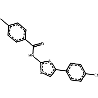 Cc1ccc(C(=O)Nc2nc(-c3ccc(C#N)cc3)cs2)cc1